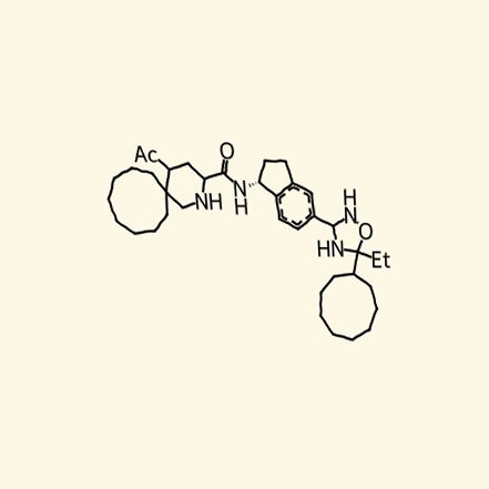 CCC1(C2CCCCCCCC2)NC(c2ccc3c(c2)CC[C@H]3NC(=O)C2CC(C(C)=O)C3(CCCCCCCC3)CN2)NO1